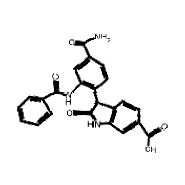 NC(=O)c1ccc(C2C(=O)Nc3cc(C(=O)O)ccc32)c(NC(=O)c2ccccc2)c1